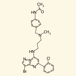 CC(=O)Nc1ccc(CN(C)CCCNc2cc(-c3ccccc3Cl)nc3c(Br)cnn23)cc1